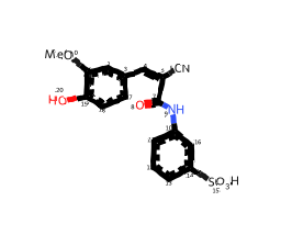 COc1cc(C=C(C#N)C(=O)Nc2cccc(S(=O)(=O)O)c2)ccc1O